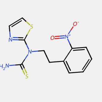 NC(=S)N(CCc1ccccc1[N+](=O)[O-])c1nccs1